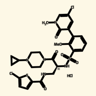 COc1c(-c2cc(Cl)cn(C)c2=O)cccc1S(=O)(=O)N[C@@H](CNC(=O)c1ccc(Cl)s1)C(=O)N1CCN(C2CC2)CC1.Cl